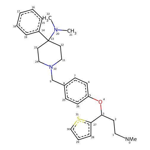 CNCCC(Oc1ccc(CN2CCC(c3ccccc3)(N(C)C)CC2)cc1)c1cccs1